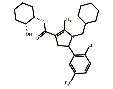 CC1=C(C(=O)N[C@H]2CCCC[C@H]2O)CC(c2cc(C(F)(F)F)ccc2Cl)N1CC1CCCCC1